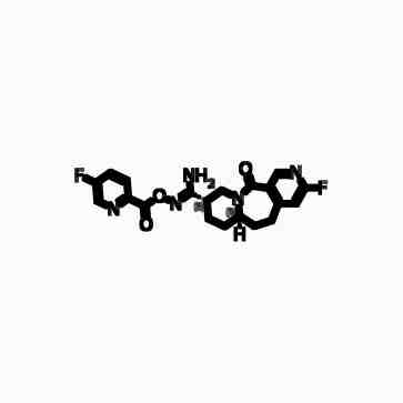 NC(=NOC(=O)c1ccc(F)cn1)[C@H]1CC[C@@H]2CCc3cc(F)ncc3C(=O)N2C1